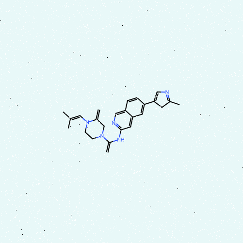 C=C1CN(C(=C)Nc2cc3cc(C4=CN=C(C)C4)ccc3cn2)CCN1C=C(C)C